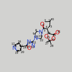 CC(C)C[C@H](C(=O)N1CCN(c2noc(-c3ccncc3)n2)CC1)[C@H]1OC(C)(C)OC1=O